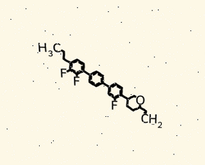 C=CC1CCC(c2ccc(-c3ccc(-c4ccc(CCC)c(F)c4F)cc3)cc2F)CO1